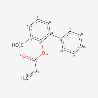 C=CC(=O)Oc1c(C(=O)O)cccc1-c1ccccc1